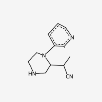 CC(C#N)C1CNCCN1c1[c]nccc1